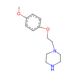 COc1ccc(OCCN2CCNCC2)cc1